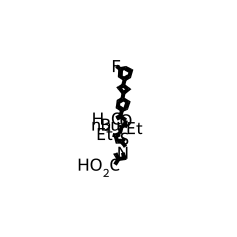 C=C(OC(CC)[C@H](CCCC)c1sc(CN2CC(C(=O)O)C2)cc1CC)c1ccc(C2CC(c3cccc(F)c3)C2)cc1